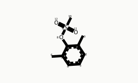 Cc1cccc(C)c1OS(C)(=O)=O